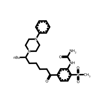 CCCCC(CCCCC(=O)c1ccc(S(C)(=O)=O)c(NC(N)=O)c1)N1CCN(c2ccccc2)CC1